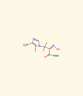 CNC(=O)C(=NO)C(C)(C)n1cnc([N+](=O)[O-])c1C